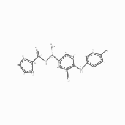 Cc1ccc(Nc2ncc([C@H](NC(=O)c3nccs3)C(C)C)cc2Cl)cn1